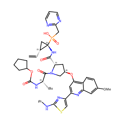 C=C[C@@H]1C[C@]1(NC(=O)[C@@H]1C[C@@H](Oc2cc(-c3csc(NC(C)C)n3)nc3cc(OC)ccc23)CN1C(=O)[C@@H](NC(=O)OC1CCCC1)C(C)(C)C)P(=O)(O)Cc1ncccn1